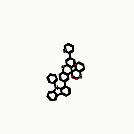 c1ccc(-n2c3ccccc3c3cccc(-c4ccc5c(c4)C4(c6ccccc6Sc6ccccc64)c4ccc(-c6ccccn6)cc4S5)c32)cc1